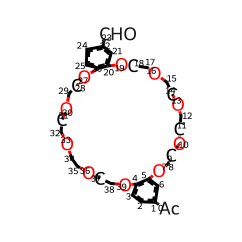 CC(=O)c1ccc2c(c1)OCCOCCOCCOCCOc1cc(C=O)ccc1OCCOCCOCCOCCO2